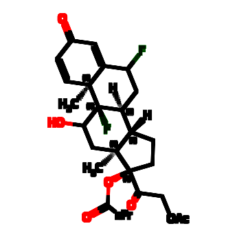 CCCC(=O)O[C@]1(C(=O)COC(C)=O)CC[C@H]2[C@@H]3CC(F)C4=CC(=O)C=C[C@]4(C)[C@@]3(F)C(O)C[C@@]21C